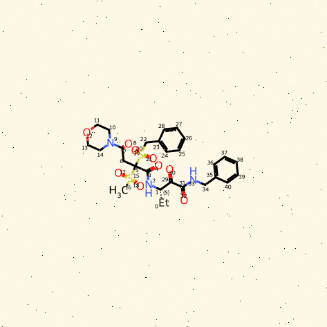 CC[C@H](NC(=O)C(CC(=O)N1CCOCC1)(S(C)(=O)=O)S(=O)(=O)Cc1ccccc1)C(=O)C(=O)NCc1ccccc1